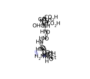 C=C/C=C\C=C/CCCCC(C(=O)N[C@H](CCCN/C(N)=N\C(=O)NCCNC(=O)CC)C(=O)NCc1ccc(O)cc1)c1ccc(NCCCNC(=O)c2ccc(C(=O)NCCCCNC(C=O)N3CCN(CC(=O)O)CCN(CC(=O)O)CCN(CC(=O)O)CC3)cc2)cc1